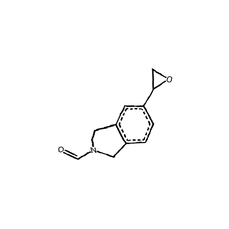 O=CN1Cc2ccc(C3CO3)cc2C1